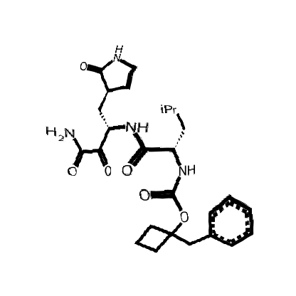 CC(C)C[C@H](NC(=O)OC1(Cc2ccccc2)CCC1)C(=O)N[C@@H](C[C@@H]1CCNC1=O)C(=O)C(N)=O